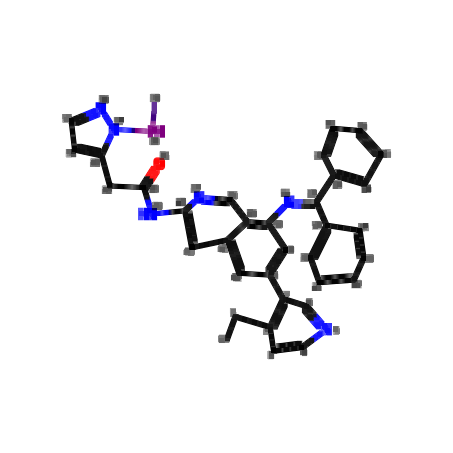 CCc1ccncc1-c1cc(N=C(c2ccccc2)c2ccccc2)c2cnc(NC(=O)Cc3ccnn3PI)cc2c1